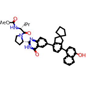 COC(=O)N[C@@H](C(=O)N1CCC[C@H]1c1nc2ccc(-c3ccc(-c4ccc(O)c5ccccc45)c4c3CC3(CCCC3)C4)cc2c(=O)[nH]1)C(C)C